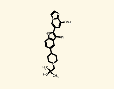 COc1cc(-c2[nH]c3ccc(C4CCN(CC(C)(C)O)CC4)cc3c2C(C)C)cn2ccnc12